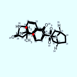 CC(C)(N)c1ccc(S(=O)(=O)N2[C@@H]3CC[C@H]2C[C@@H](NC(=O)c2ccc4c(c2)CC(=O)N4)C3)cc1